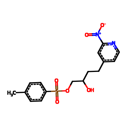 Cc1ccc(S(=O)(=O)OCC(O)CCc2ccnc([N+](=O)[O-])c2)cc1